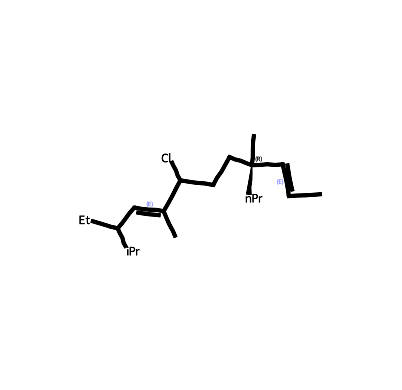 C/C=C/[C@](C)(CCC)CCC(Cl)/C(C)=C/C(CC)C(C)C